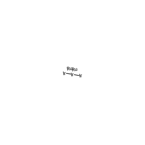 [Ir][Ir][Ir].[Ru].[Ru]